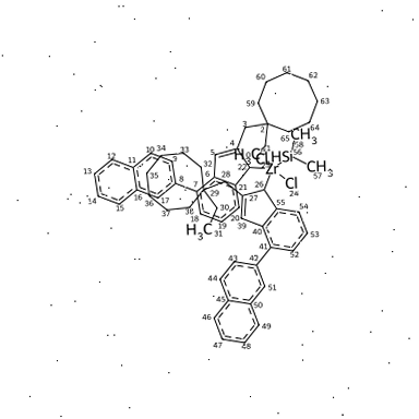 CCC1(CC2=Cc3c(-c4ccc5ccccc5c4)cccc3[CH]2[Zr]([Cl])([Cl])([CH]2C(CC3(CC)CCCCCCC3)=Cc3c(-c4ccc5ccccc5c4)cccc32)[SiH](C)C)CCCCCCC1